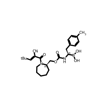 Cc1ccc(C[C@H](NC(=O)OC[C@H]2CCCCCN2C(=O)C(C#N)=CC(C)(C)C)B(O)O)cc1